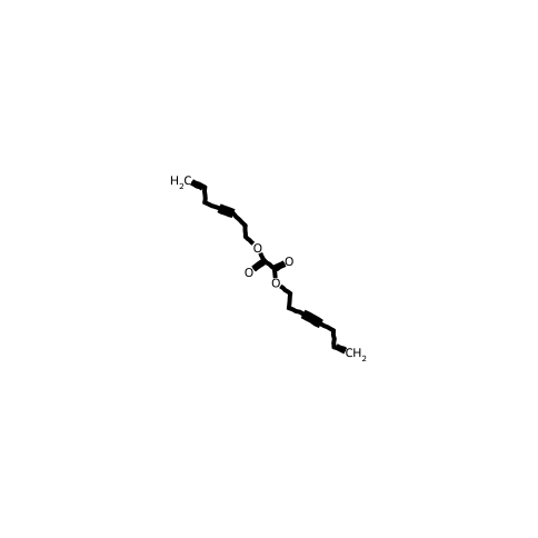 C=CCC#CCCOC(=O)C(=O)OCCC#CCC=C